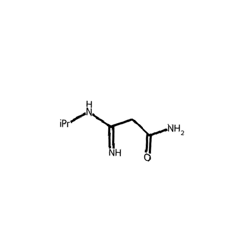 CC(C)NC(=N)CC(N)=O